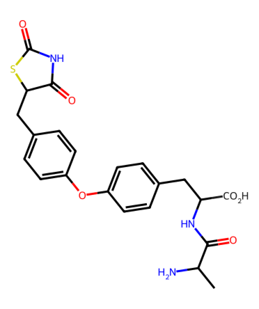 CC(N)C(=O)NC(Cc1ccc(Oc2ccc(CC3SC(=O)NC3=O)cc2)cc1)C(=O)O